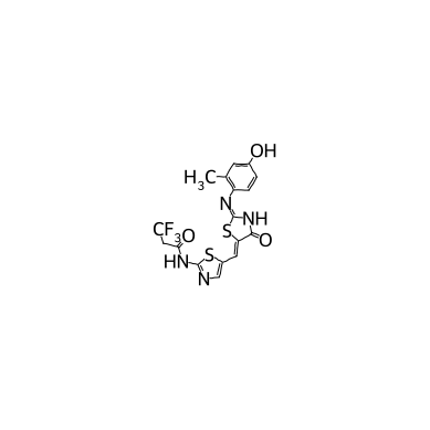 Cc1cc(O)ccc1N=C1NC(=O)C(=Cc2cnc(NC(=O)CC(F)(F)F)s2)S1